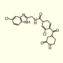 O=C1CN(C(=O)C2=CCC(C(=O)NCc3nc4cc(Cl)ccc4[nH]3)C=C2Cl)CCN1